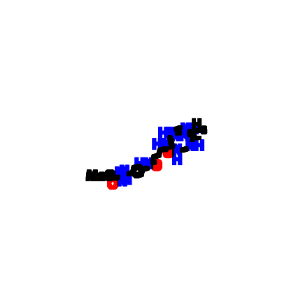 COC(=O)c1nnc(-c2ccc(CNC(=O)CCCC(=O)NC34CNCCNCC(C)(CNCCNC3)CNCCNC4)cc2)nn1